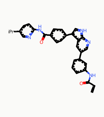 C=CC(=O)Nc1cccc(-c2cnc3[nH]cc(-c4ccc(C(=O)Nc5ccc(C(C)C)cn5)cc4)c3c2)c1